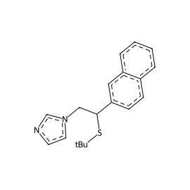 CC(C)(C)SC(Cn1ccnc1)c1ccc2ccccc2c1